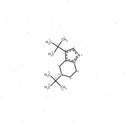 CC(C)(C)c1cnn2c1CN(C(C)(C)C)CC2